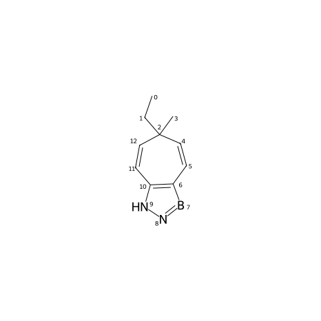 CCC1(C)C=Cc2bn[nH]c2C=C1